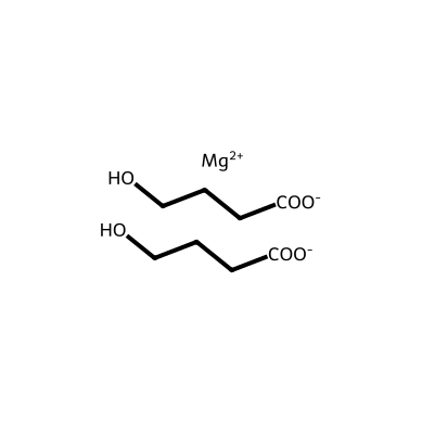 O=C([O-])CCCO.O=C([O-])CCCO.[Mg+2]